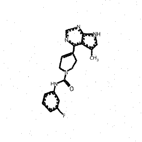 Cc1c[nH]c2ncnc(C3=CCN(C(=O)Nc4cccc(F)c4)CC3)c12